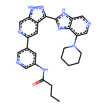 CCCC(=O)Nc1cncc(-c2cc3c(-c4nc5c(N6CCCCC6)cncc5[nH]4)n[nH]c3cn2)c1